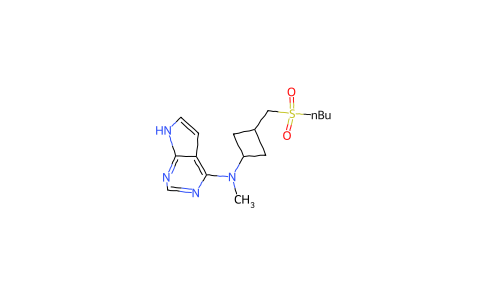 CCCCS(=O)(=O)CC1CC(N(C)c2ncnc3[nH]ccc23)C1